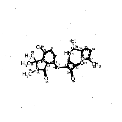 CC[C@@H](Nc1c(Nc2ccc(Cl)c3c2C(=O)N(C)C3(C)C)c(=O)c1=O)c1ccc(C)o1